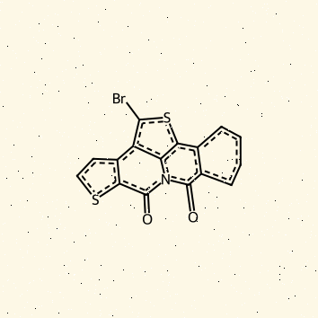 O=c1c2ccccc2c2sc(Br)c3c4ccsc4c(=O)n1c23